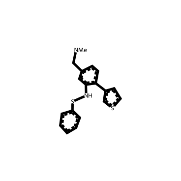 CNCc1ccc(-c2ccsc2)c(NSc2ccccc2)c1